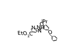 CCOC(=O)c1cnc2[nH]c(-c3cc(OCc4ccccc4)ccc3OC(C)C)nc2c1